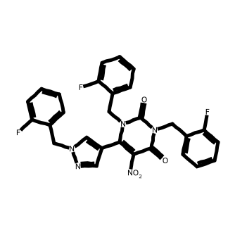 O=c1c([N+](=O)[O-])c(-c2cnn(Cc3ccccc3F)c2)n(Cc2ccccc2F)c(=O)n1Cc1ccccc1F